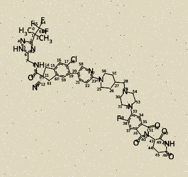 CC(C)(c1n[nH]c(CNC(=O)[C@@]2(C#N)Cc3cc(Cl)c(-c4ccc(N5CCC(CN6CCN(c7cc8c(cc7F)C(=O)N(C7CCC(=O)NC7=O)C8=O)CC6)CC5)nc4)cc3C2)n1)C(F)(F)F